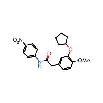 COc1ccc(CC(=O)Nc2ccc([N+](=O)[O-])cc2)cc1OC1CCCC1